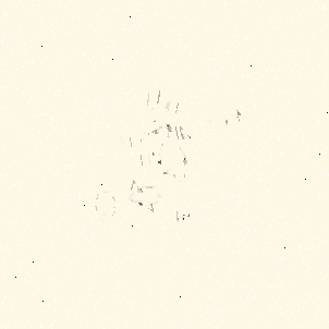 COCCNC(=O)[C@@H](NC(=O)c1nc(-c2ccccc2)n2c1CN(C)CCC2)C(C)(C)C